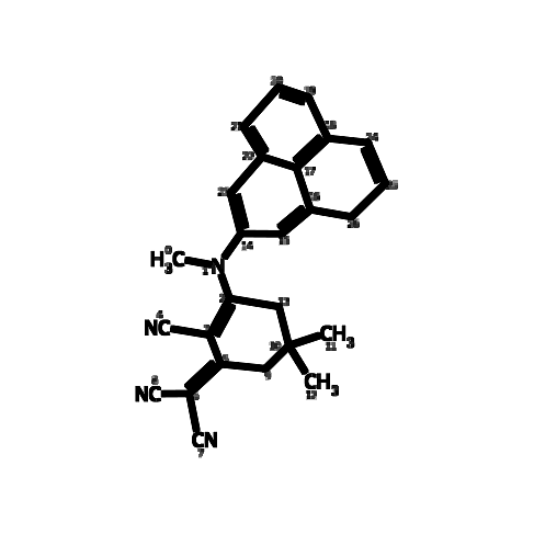 CN(C1=C(C#N)C(=C(C#N)C#N)CC(C)(C)C1)c1cc2c3c(cccc3c1)C=CC2